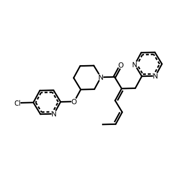 C/C=C\C=C(/Cc1ncccn1)C(=O)N1CCCC(Oc2ccc(Cl)cn2)C1